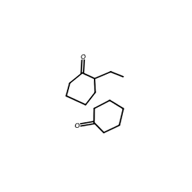 CCC1CCCCC1=O.O=C1CCCCC1